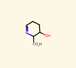 O=C(O)C1N=CCCC1O